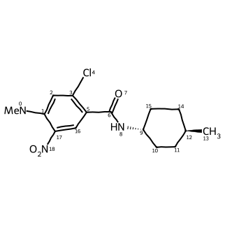 CNc1cc(Cl)c(C(=O)N[C@H]2CC[C@H](C)CC2)cc1[N+](=O)[O-]